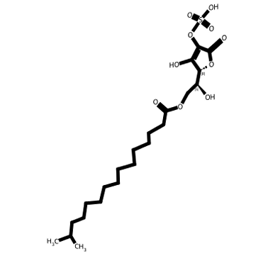 CC(C)CCCCCCCCCCCCC(=O)OC[C@H](O)[C@H]1OC(=O)C(OS(=O)(=O)O)=C1O